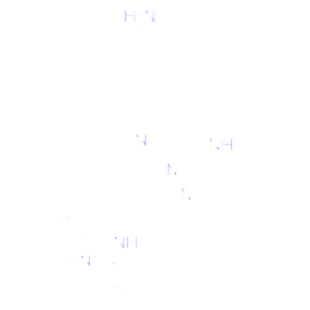 CC1C=CC(Cc2cc(NC3CC3)n3ncc(/C=C4\NC(=O)NC4=O)c3n2)=CC1N